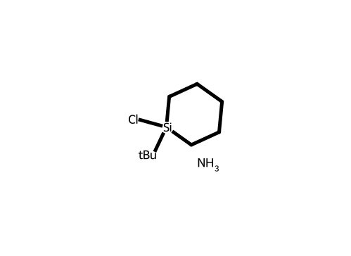 CC(C)(C)[Si]1(Cl)CCCCC1.N